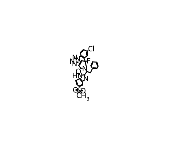 CS(=O)(=O)c1ccc2[nH]c(C(Cc3ccccc3)N3CC(F)(c4cc(Cl)ccc4-n4cnnn4)C=CC3=O)nc2c1